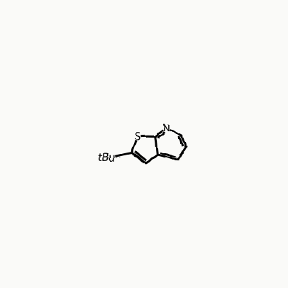 CC(C)(C)c1cc2cccnc2s1